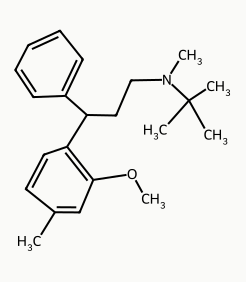 COc1cc(C)ccc1C(CCN(C)C(C)(C)C)c1ccccc1